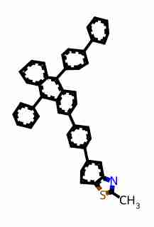 Cc1nc2cc(-c3ccc(-c4ccc5c(-c6ccc(-c7ccccc7)cc6)c6ccccc6c(-c6ccccc6)c5c4)cc3)ccc2s1